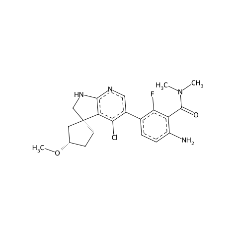 CO[C@H]1CC[C@@]2(CNc3ncc(-c4ccc(N)c(C(=O)N(C)C)c4F)c(Cl)c32)C1